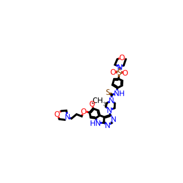 COc1cc2c(cc1OCCCN1CCOCC1)[nH]c1ncnc(N3CCN(C(=S)Nc4ccc(S(=O)(=O)N5CCOCC5)cc4)CC3)c12